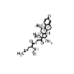 CSCCC(NC=O)C(=O)SCC(=O)[C@@]1(O)[C@@H](C)C[C@H]2[C@@H]3CCC4=CC(=O)C=C[C@]4(C)C3(F)[C@@H](O)C[C@@]21C